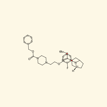 CC(C)(C)OC(=O)N1CC2CC[C@H](C1)N2c1cccc(OCCN2CCN(C(=O)OCc3ccccc3)CC2)c1F